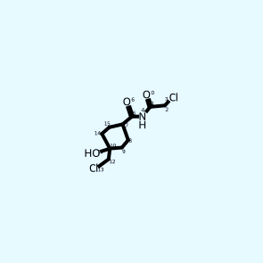 O=C(CCl)NC(=O)C1CCC(O)(CCl)CC1